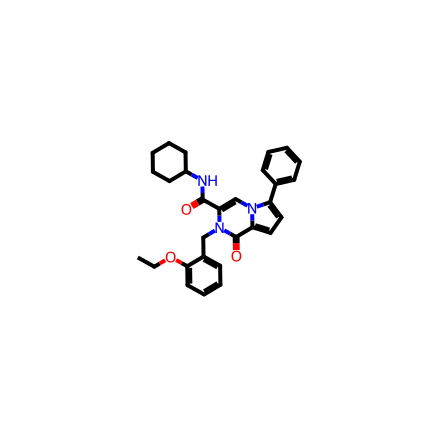 CCOc1ccccc1Cn1c(C(=O)NC2CCCCC2)cn2c(-c3ccccc3)ccc2c1=O